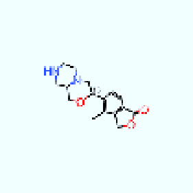 Cc1c([C@@H]2CN3CCNCC3CO2)ccc2c1COC2=O